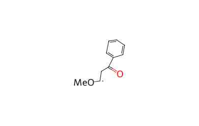 CO[CH]CC(=O)c1ccccc1